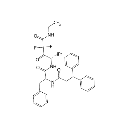 CC(C)[C@H](NC(=O)C(Cc1ccccc1)NC(=O)CC(c1ccccc1)c1ccccc1)C(=O)C(F)(F)C(=O)NCC(F)(F)F